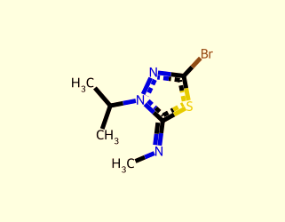 C/N=c1/sc(Br)nn1C(C)C